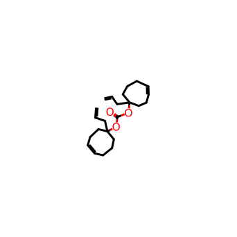 C=CCC1(OC(=O)OC2(CC=C)CCC=CCCC2)CCC=CCCC1